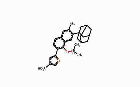 C[SiH](C)Oc1c(-c2cc(C(=O)O)cs2)ccc2cc(C(C)(C)C)c(C34CC5CC(CC(C5)C3)C4)cc12